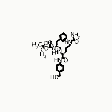 CC(C)(C)OC(=O)N[C@H](CN[C@@H](CCCNC(N)=O)C(=O)Nc1ccc(CO)cc1)Cc1ccccc1